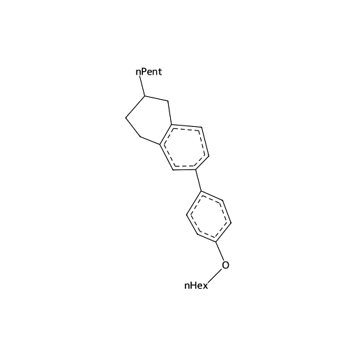 CCCCCCOc1ccc(-c2ccc3c(c2)CCC(CCCCC)C3)cc1